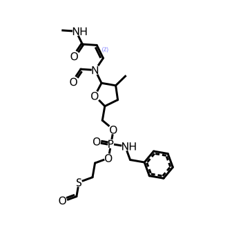 CNC(=O)/C=C\N(C=O)C1OC(COP(=O)(NCc2ccccc2)OCCSC=O)CC1C